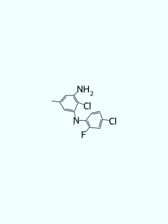 Cc1cc(N)c(Cl)c(N(C)c2ccc(Cl)cc2F)c1